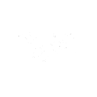 CC(C)n1cc(-c2cnc3[nH]cc(-c4cc(C(C)(O)c5ccccc5F)nc(N)n4)c3n2)cn1